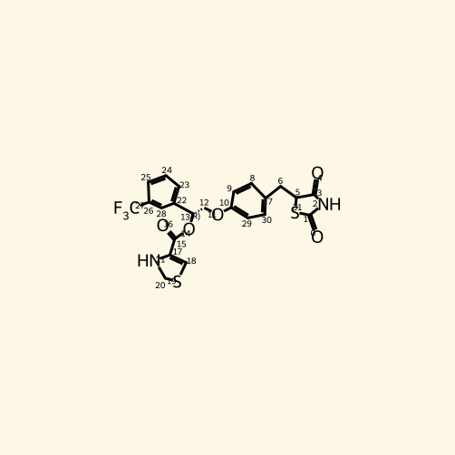 O=C1NC(=O)C(Cc2ccc(OC[C@H](OC(=O)C3=CSCN3)c3cccc(C(F)(F)F)c3)cc2)S1